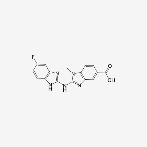 Cn1c(Nc2nc3cc(F)ccc3[nH]2)nc2cc(C(=O)O)ccc21